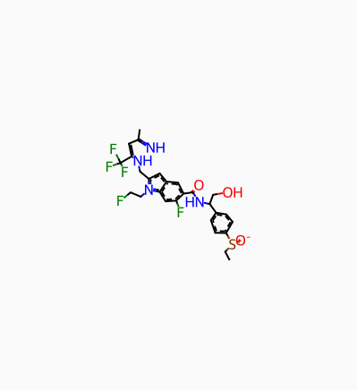 CC[S+]([O-])c1ccc(C(CO)NC(=O)c2cc3cc(CN/C(=C\C(C)=N)C(F)(F)F)n(CCF)c3cc2F)cc1